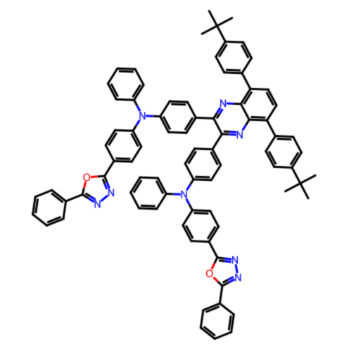 CC(C)(C)c1ccc(-c2ccc(-c3ccc(C(C)(C)C)cc3)c3nc(-c4ccc(N(c5ccccc5)c5ccc(-c6nnc(-c7ccccc7)o6)cc5)cc4)c(-c4ccc(N(c5ccccc5)c5ccc(-c6nnc(-c7ccccc7)o6)cc5)cc4)nc23)cc1